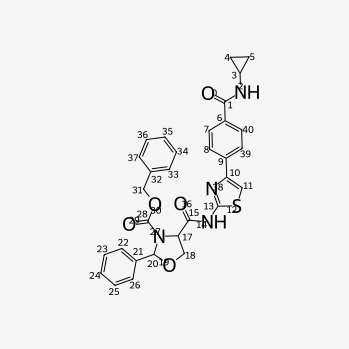 O=C(NC1CC1)c1ccc(-c2csc(NC(=O)C3COC(c4ccccc4)N3C(=O)OCc3ccccc3)n2)cc1